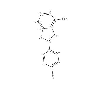 Fc1ccc(-c2cc3c(Cl)ccnc3s2)cc1